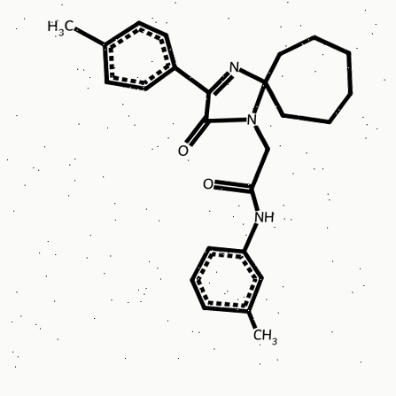 Cc1ccc(C2=NC3(CCCCCC3)N(CC(=O)Nc3cccc(C)c3)C2=O)cc1